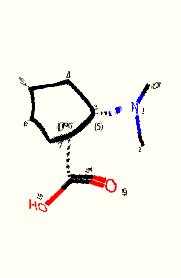 CN(C)[C@H]1CCC[C@H]1C(=O)O